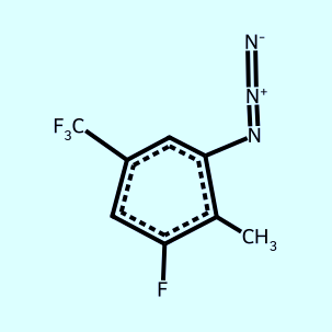 Cc1c(F)cc(C(F)(F)F)cc1N=[N+]=[N-]